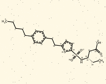 CCCCCc1ccc(CCc2ccc(S(=O)(=O)N[C@@H](CC)CC(=O)O)s2)cc1